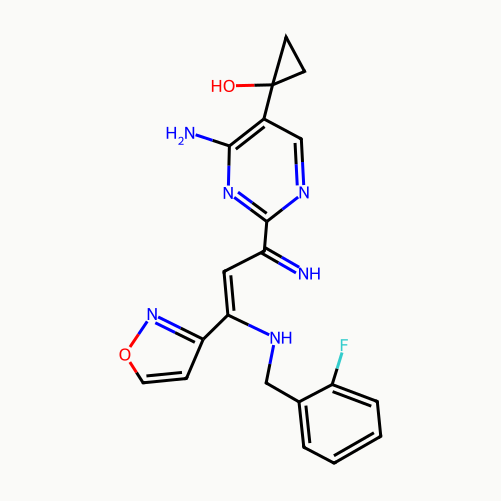 N=C(/C=C(\NCc1ccccc1F)c1ccon1)c1ncc(C2(O)CC2)c(N)n1